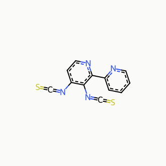 S=C=Nc1ccnc(-c2ccccn2)c1N=C=S